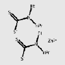 CCCN(CC)C(=S)[S-].CCCN(CC)C(=S)[S-].[Zn+2]